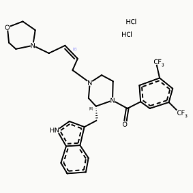 Cl.Cl.O=C(c1cc(C(F)(F)F)cc(C(F)(F)F)c1)N1CCN(C/C=C\CN2CCOCC2)C[C@H]1Cc1c[nH]c2ccccc12